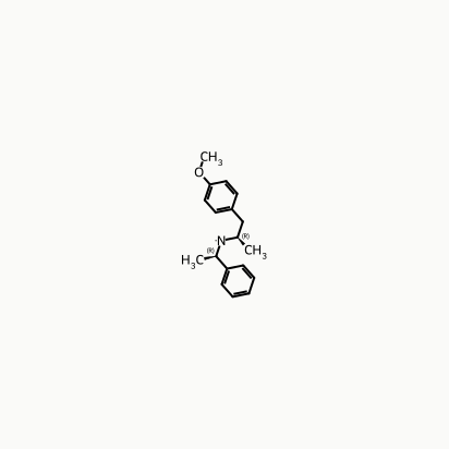 COc1ccc(C[C@@H](C)[N][C@H](C)c2ccccc2)cc1